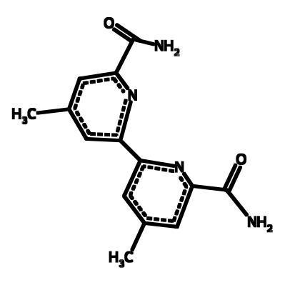 Cc1cc(C(N)=O)nc(-c2cc(C)cc(C(N)=O)n2)c1